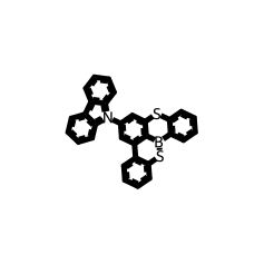 c1ccc2c(c1)Sc1cc(-n3c4ccccc4c4ccccc43)cc3c1B2Sc1ccccc1-3